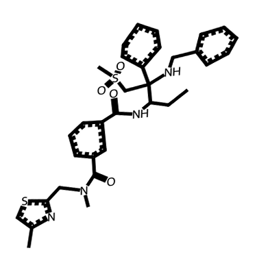 CCC(NC(=O)c1cccc(C(=O)N(C)Cc2nc(C)cs2)c1)C(CS(C)(=O)=O)(NCc1ccccc1)c1ccccc1